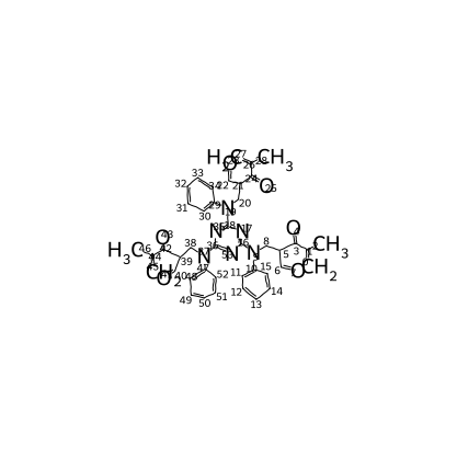 C=C(C)C(=O)C(C=O)CN(c1ccccc1)c1nc(N(CC(C=O)C(=O)C(=C)C)c2ccccc2)nc(N(CC(C=O)C(=O)C(=C)C)c2ccccc2)n1